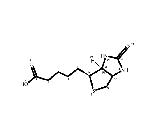 O=C(O)CCCC[C@@H]1SCC2NC(=S)N[C@@H]21